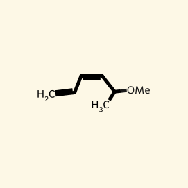 C=C/C=C\C(C)OC